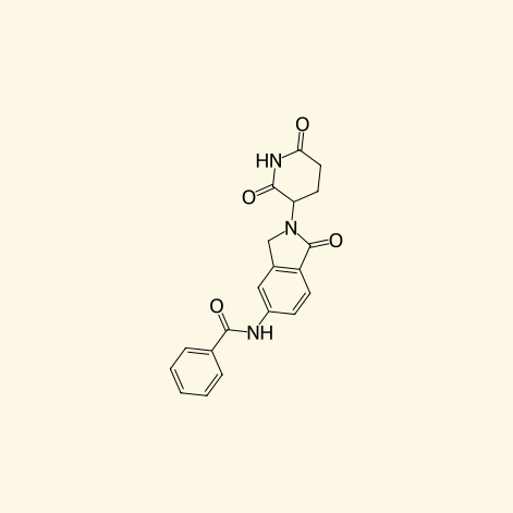 O=C1CCC(N2Cc3cc(NC(=O)c4ccccc4)ccc3C2=O)C(=O)N1